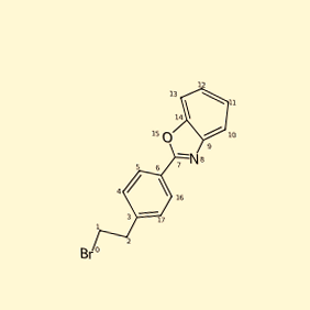 BrCCc1ccc(-c2nc3ccccc3o2)cc1